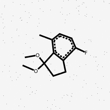 COC1(OC)CCc2c(F)ccc(C)c21